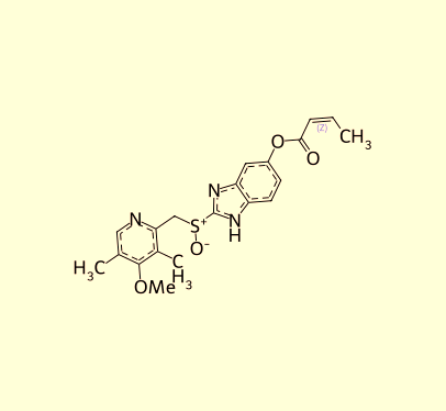 C/C=C\C(=O)Oc1ccc2[nH]c([S+]([O-])Cc3ncc(C)c(OC)c3C)nc2c1